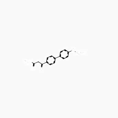 CCCCCCCCCCOc1ccc(-c2ccc(C(=O)CC(=O)C(F)(F)F)cc2)cc1